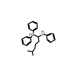 CC(C)CCCC([SiH2]c1ccccc1)[SiH](c1ccccc1)c1ccccc1